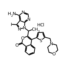 CC(c1oc(=O)c2ccccc2c1-c1ccc(CN2CCOCC2)s1)n1nc(I)c2c(N)ncnc21.Cl